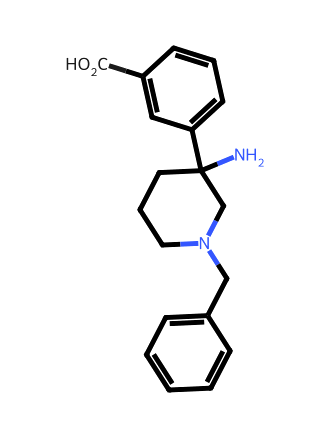 NC1(c2cccc(C(=O)O)c2)CCCN(Cc2ccccc2)C1